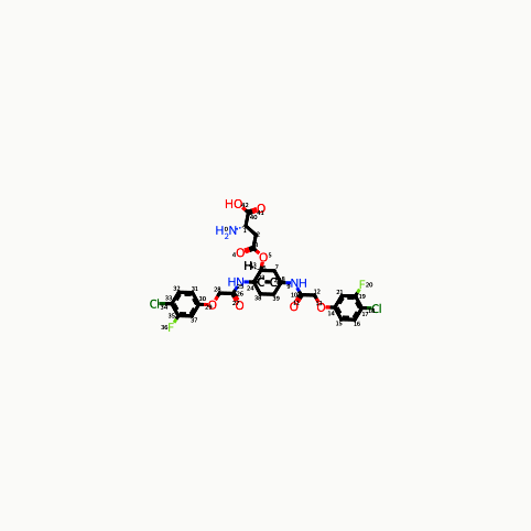 N[C@@H](CC(=O)O[C@H]1CC2(NC(=O)COc3ccc(Cl)c(F)c3)CCC1(NC(=O)COc1ccc(Cl)c(F)c1)CC2)C(=O)O